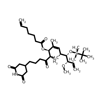 C=CCCCCC(=O)O[C@@H](/C(C)=C\[C@@H](C)[C@H](O[Si](C)(C)C(C)(C)C)[C@H](C=C)OC)C(C)C(=O)CCCC1CC(=O)NC(=O)C1